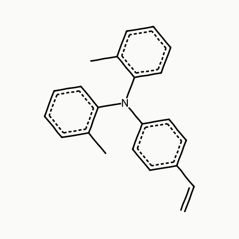 C=Cc1ccc(N(c2ccccc2C)c2ccccc2C)cc1